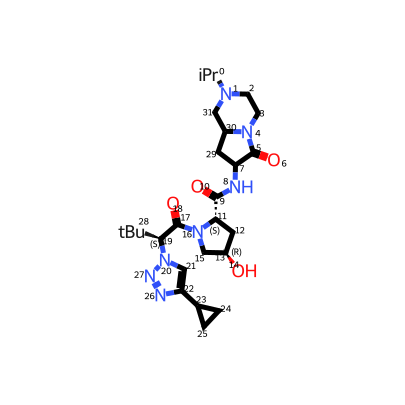 CC(C)N1CCN2C(=O)C(NC(=O)[C@@H]3C[C@@H](O)CN3C(=O)[C@@H](n3cc(C4CC4)nn3)C(C)(C)C)CC2C1